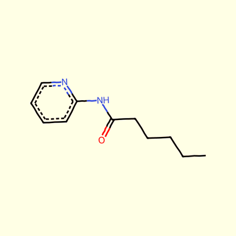 CCCCCC(=O)Nc1ccccn1